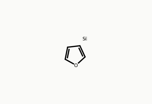 [Si].c1ccoc1